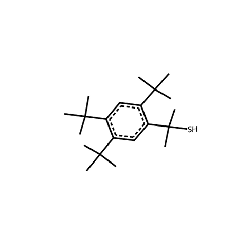 CC(C)(C)c1cc(C(C)(C)C)c(C(C)(C)S)cc1C(C)(C)C